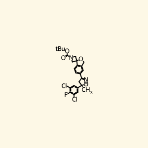 CC(C)(C)OC(=O)N1CC2(C1)OCc1cc(C3=NO[C@](C)(c4cc(Cl)c(F)c(Cl)c4)C3)ccc12